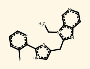 CCn1c(Cc2c[nH]c(-c3ncccc3F)n2)nc2ccncc21